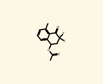 CC(=O)OC1CC(F)(F)C(=O)c2c(C)cccc21